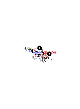 Cc1nc(CN2C(=O)CN([C@H](C(=O)N[C@@H](Cc3ccccc3)[C@H](O)CN(CC(C)C)S(=O)(=O)c3ccc(O)cc3)C(C)C)C2=O)cs1